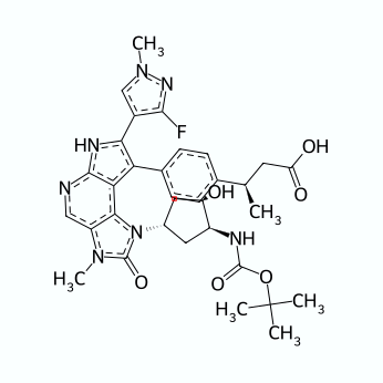 C[C@H](CC(=O)O)c1ccc(-c2c(-c3cn(C)nc3F)[nH]c3ncc4c(c23)n([C@@H]2C[C@@H](O)[C@@H](NC(=O)OC(C)(C)C)C2)c(=O)n4C)cc1